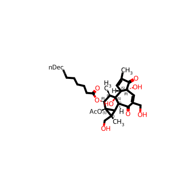 CCCCCCCCCCCCCCCC(=O)O[C@@H]1[C@@H](C)[C@@]2(O)[C@@H](C(=O)C(CO)=C[C@]3(O)C(=O)C(C)=C[C@@H]23)C2[C@](C)(CO)[C@@]21OC(C)=O